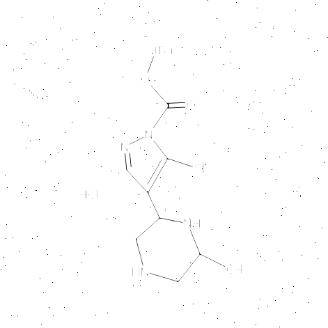 CC1CNCC(c2cnn(C(=O)OC(C)(C)C)c2Cl)N1.Cl